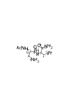 CC(=O)N[C@@H](CN)C(=O)NC(CC(C)C)C(N)=O